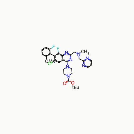 COc1cccc(F)c1-c1c(Cl)cc2c(N3CCN(C(=O)OC(C)(C)C)CC3)nc(CN(C)Cc3ncccn3)nc2c1F